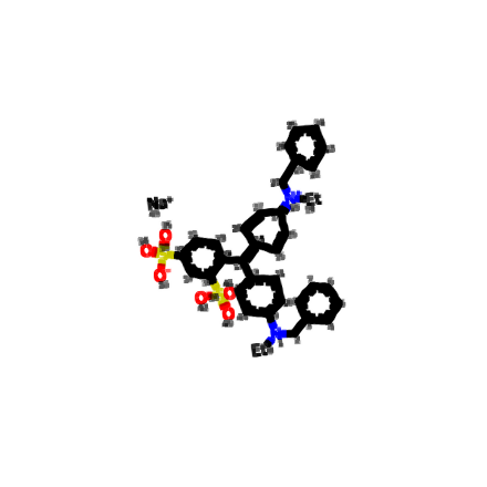 CCN(Cc1ccccc1)c1ccc(C(=C2C=CC(=[N+](CC)Cc3ccccc3)C=C2)c2ccc(S(=O)(=O)[O-])cc2S(=O)(=O)[O-])cc1.[Na+]